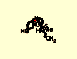 C=CCNC(=S)N1CC[C@@]23C=C[C@@H](O)C[C@@H]2Oc2c(OC)ccc(c23)C1